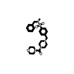 CN(Cc1ccccc1)S(=O)(=O)c1ccc(CN2CCN(C(=O)N3CCOCC3)CC2)cc1